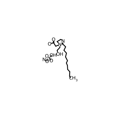 CCCCCCCCCCCC1=NCC[N+]1(CCO)CC(=O)[O-].O=S(=O)([O-])O.[Na+]